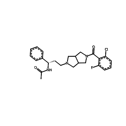 CC(=O)N[C@@H](CCN1CC2CN(C(=O)c3c(F)cccc3Cl)CC2C1)c1ccccc1